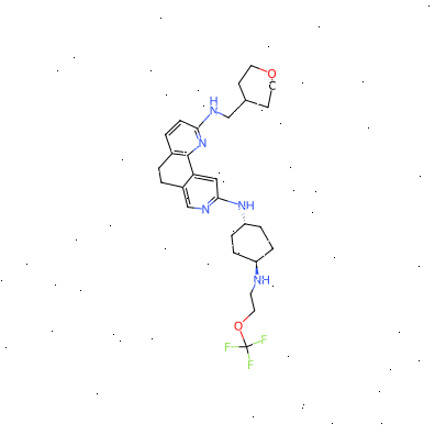 FC(F)(F)OCCN[C@H]1CC[C@H](Nc2cc3c(cn2)CCc2ccc(NCC4CCOCC4)nc2-3)CC1